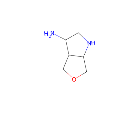 NC1CNC2COCC12